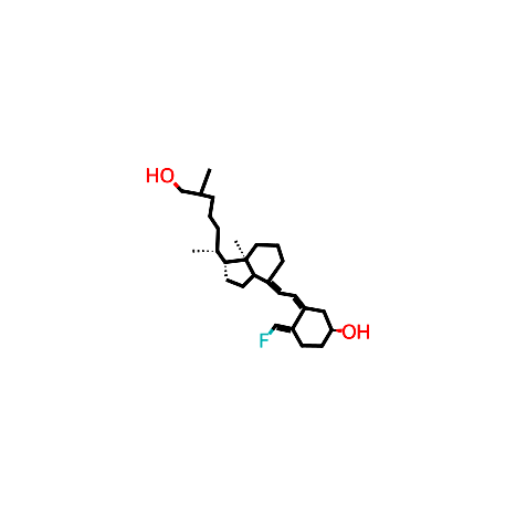 CC(CO)CCC[C@@H](C)[C@H]1CCC2C(=C/C=C3/C[C@@H](O)CCC3=CF)CCC[C@@]21C